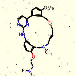 CCN(CC)CCOc1ccc2cc1CN(C)C/C=C/COCc1cc(ccc1OC)-c1ccnc(n1)N2